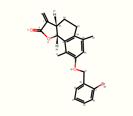 C=C1C(=O)O[C@H]2c3c(C)c(OCc4ccccc4Br)cc(C)c3CC[C@@H]12